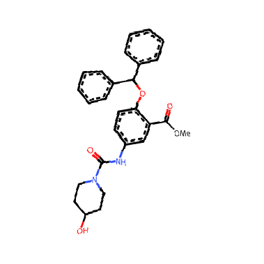 COC(=O)c1cc(NC(=O)N2CCC(O)CC2)ccc1OC(c1ccccc1)c1ccccc1